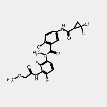 CN(C(=O)c1cc(NC(=O)C2CC2(Cl)Cl)ccc1Cl)c1ccc(F)c(NC(=O)COC(F)(F)F)c1F